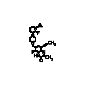 CC#Cc1cc(CN2CCN(C3=C(F)N(C4CC4)CC=C3)CC2)c(F)c2[nH]c(=O)c(C)nc12